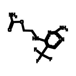 NC(=O)OCCNc1nc(N)ncc1C(F)(F)F